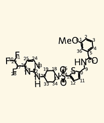 COc1cccc(C(=O)NCc2ccc(S(=O)(=O)N3CCC(Nc4nccc(C(F)C(F)F)n4)CC3)s2)c1